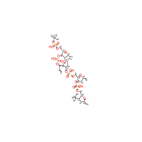 C=CC(OP(=O)(O)OC1C[C@H](C)O[C@@H]1COP(=O)(O)OC(C)(C)C)[C@H]1O[C@@H](C)CC1OP(=O)(O)OC[C@H]1O[C@@H](C)CC1OP(=O)(O)OC[C@H]1O[C@@H](C)CC1C(C)(C)C